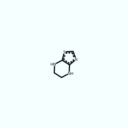 c1nc2c(s1)NCCN2